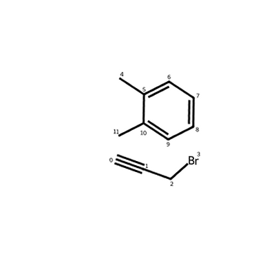 C#CCBr.Cc1ccccc1C